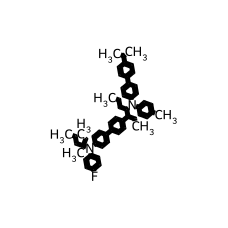 CCCC(C(CC)c1ccc(-c2ccc(N(c3ccc(F)cc3)C(C)(CC)CCC)cc2)cc1)N(c1ccc(C)cc1)c1ccc(-c2ccc(C(C)C)cc2)cc1